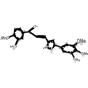 COc1ccc(C(=O)C=Cc2cc(-c3cc(OC)c(OC)c(OC)c3)n[nH]2)cc1O